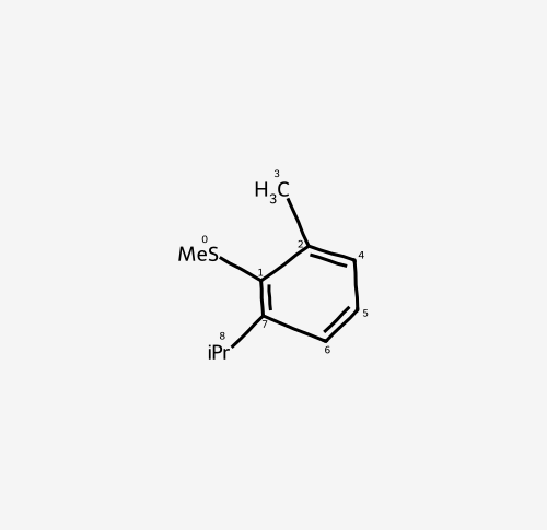 CSc1c(C)cccc1C(C)C